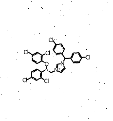 Clc1ccc(C(c2ccc(Cl)cc2)n2cc[n+](CC(Oc3ccc(Cl)cc3Cl)c3ccc(Cl)cc3Cl)c2)cc1